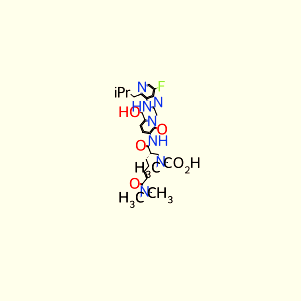 CC(C)Cc1ncc(F)c2nc(Cn3c(CO)ccc(NC(=O)[C@@H](CC/C=C/C(=O)N(C)C)CN(C)C(=O)O)c3=O)[nH]c12